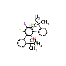 CC(C)(C)c1ccccc1-c1c(F)c(I)c(F)c(-c2ccccc2C(C)(C)C)c1Br